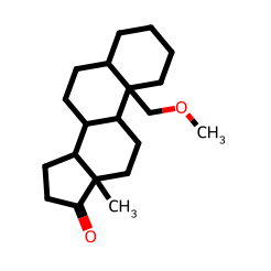 COCC12CCCCC1CCC1C3CCC(=O)C3(C)CCC12